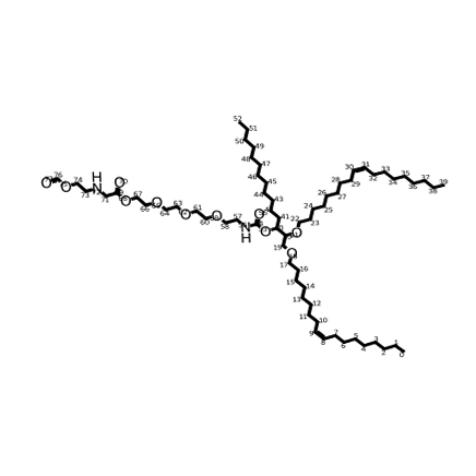 CCCCCCCC/C=C\CCCCCCCCOCC(OCCCCCCCC/C=C\CCCCCCCC)C(CCCCCCCCCCCC)OC(=O)NCCOCCOCCOCCOC(=O)CNCCOC=O